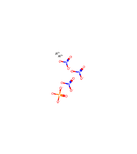 O=P([O-])([O-])[O-].O=[N+]([O-])[O-].O=[N+]([O-])[O-].O=[N+]([O-])[O-].[Al+3].[Al+3]